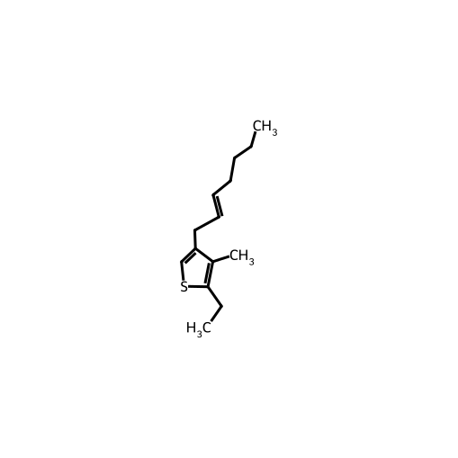 CCCCC=CCc1csc(CC)c1C